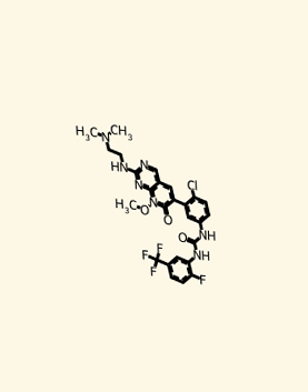 COn1c(=O)c(-c2cc(NC(=O)Nc3cc(C(F)(F)F)ccc3F)ccc2Cl)cc2cnc(NCCN(C)C)nc21